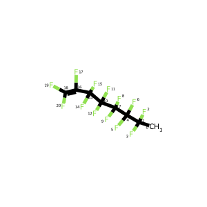 CC(F)(F)C(F)(F)C(F)(F)C(F)(F)C(F)(F)C(F)=C(F)F